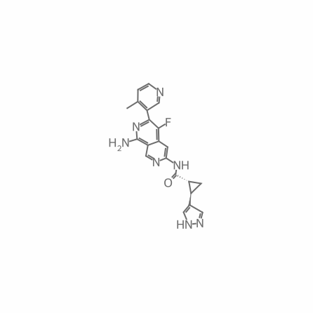 Cc1ccncc1-c1nc(N)c2cnc(NC(=O)[C@@H]3C[C@H]3c3cn[nH]c3)cc2c1F